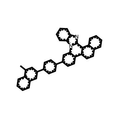 Cc1cc(-c2ccc(-c3ccc4c5ccc6ccccc6c5c5nc6ccccc6n5c4c3)cc2)cc2ccccc12